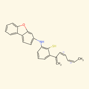 C=C(/C=C\C=C/C)c1cccc(Nc2ccc3c(c2)oc2ccccc23)c1S